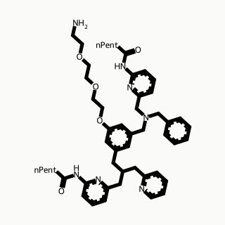 CCCCCC(=O)Nc1cccc(CC(Cc2cc(CN(Cc3ccccc3)Cc3cccc(NC(=O)CCCCC)n3)cc(OCCOCCOCCN)c2)Cc2ccccn2)n1